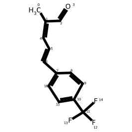 CC(C=O)=CC=Cc1ccc(C(F)(F)F)cc1